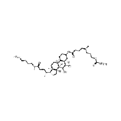 CCCCCCCCCCCCCCNC(=O)CC[C@@H](C)[C@H]1CC[C@H]2[C@@H]3[C@H](O)[C@H](CC)[C@@H]4C[C@H](OC(=O)CCCN(C)CCCOC(=O)CCCCC)CC[C@]4(C)[C@H]3CC[C@]12C